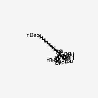 CCCCCCCCCCCCCCCCCCCCCCSCCOC(=O)C(Cc1cc(C(C)(C)C)c(O)c(C(C)(C)C)c1)(Cc1cc(C(C)(C)C)c(O)c(C(C)(C)C)c1)C(=O)O